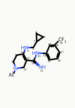 CC(=O)N1CCC(NCC2CC2)=C(C(=N)Nc2cccc(C(F)(F)F)c2)C1